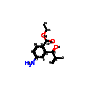 C=C(C)C(=O)c1cc(N)ccc1C(=O)OCC